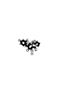 CCCCN1C2CCCN2C(=O)c2c(O)c(=O)c(CC3(C)CC=C(F)C=C3F)cn21